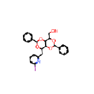 OCC1OC(c2ccccc2)OC2C(Cc3cccc(I)n3)OC(c3ccccc3)OC12